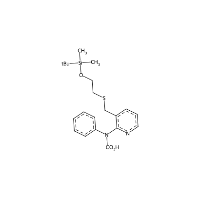 CC(C)(C)[Si](C)(C)OCCSCc1cccnc1N(C(=O)O)c1ccccc1